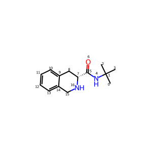 CC(C)(C)NC(=O)[C@H]1Cc2ccccc2CN1